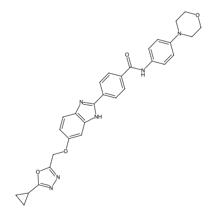 O=C(Nc1ccc(N2CCOCC2)cc1)c1ccc(-c2nc3ccc(OCc4nnc(C5CC5)o4)cc3[nH]2)cc1